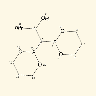 CCCC(O)[C](P1OCCCO1)P1OCCCO1